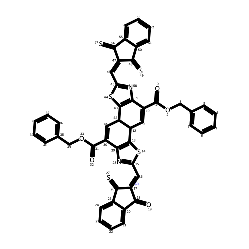 O=C(OCc1ccccc1)C1=CC2c3sc(/C=C4/C(=O)c5ccccc5C4=S)nc3C(C(=O)OCc3ccccc3)=CC2c2sc(C=C3C(=S)c4ccccc4C3=S)nc21